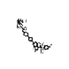 Cc1cc(C(=O)Nc2ccc(F)cc2C(F)(F)F)c2ccc(-c3ccc(C4CCC(CC(=O)NCc5nnn[nH]5)CC4)cc3)cc2n1